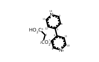 O=C(O)CC(=O)O.c1cc(-c2ccncc2)ccn1